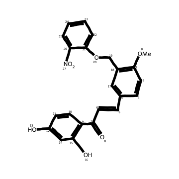 COc1ccc(/C=C/C(=O)c2ccc(O)cc2O)cc1COc1ccccc1[N+](=O)[O-]